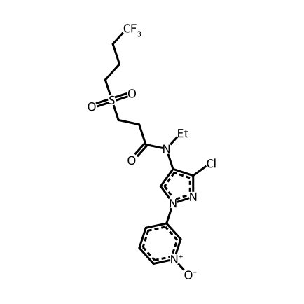 CCN(C(=O)CCS(=O)(=O)CCCC(F)(F)F)c1cn(-c2ccc[n+]([O-])c2)nc1Cl